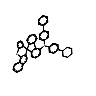 c1ccc(-c2ccc(N(c3ccc(C4CCCCC4)cc3)c3cccc4c3-c3ccccc3C43c4ccccc4Oc4c3ccc3ccccc43)cc2)cc1